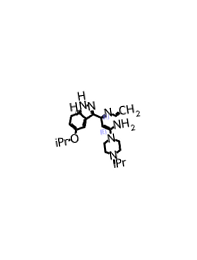 C=C/N=C(\C=C(/N)N1CCN(C(C)C)CC1)C1=NN[C@@H]2CC=C(OC(C)C)C=C12